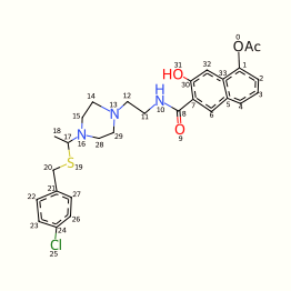 CC(=O)Oc1cccc2cc(C(=O)NCCN3CCN(C(C)SCc4ccc(Cl)cc4)CC3)c(O)cc12